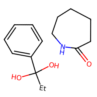 CCC(O)(O)c1ccccc1.O=C1CCCCCN1